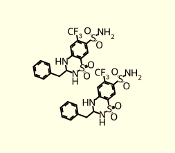 NS(=O)(=O)c1cc2c(cc1C(F)(F)F)NC(Cc1ccccc1)NS2(=O)=O.NS(=O)(=O)c1cc2c(cc1C(F)(F)F)NC(Cc1ccccc1)NS2(=O)=O